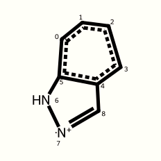 [c]1cccc2c1N[N+]=C2